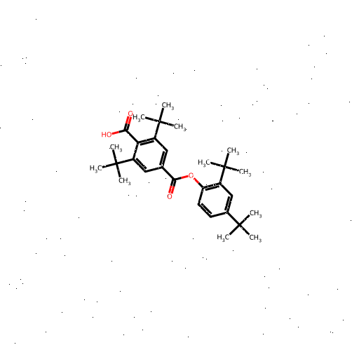 CC(C)(C)c1ccc(OC(=O)c2cc(C(C)(C)C)c(C(=O)O)c(C(C)(C)C)c2)c(C(C)(C)C)c1